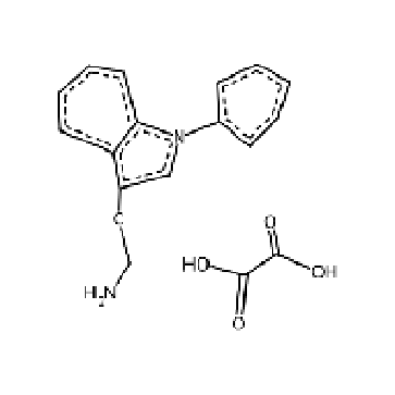 NCCc1cn(-c2ccccc2)c2ccccc12.O=C(O)C(=O)O